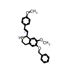 COc1ccc(/C=C/C2NCCc3cc(OCc4ccccc4)c(OC)cc32)cc1